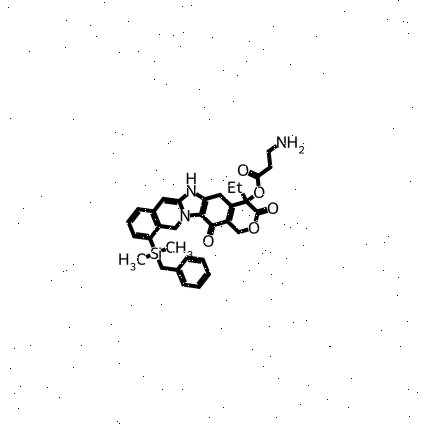 CCC1(OC(=O)CCN)C(=O)OCC2=C1CC1=C(C2=O)N2Cc3c(cccc3[Si](C)(C)Cc3ccccc3)C=C2N1